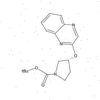 CC(C)(C)OC(=O)N1CC[C@@H](Oc2cnc3ccccc3n2)C1